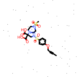 CC#CCOc1ccc(S(=O)(=O)NCC(C(=O)O)(C(=O)O)N2CCN(S(C)(=O)=O)CC2)cc1